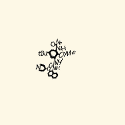 COc1c(NC(=O)Nc2c(Oc3ccncc3)ccc3ccccc23)cc(C(C)(C)C)cc1NC(=O)N(C)C